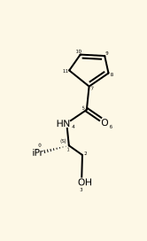 CC(C)[C@@H](CO)NC(=O)C1=CC=CC1